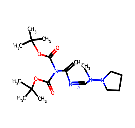 C=C(/N=C\N(C)N1CCCC1)N(C(=O)OC(C)(C)C)C(=O)OC(C)(C)C